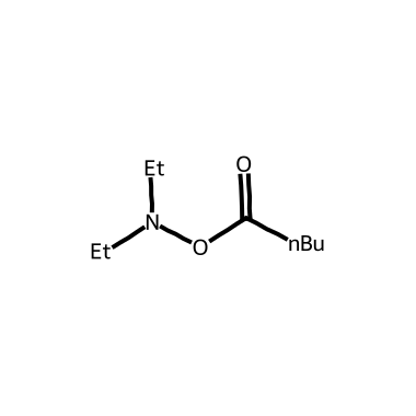 CCCCC(=O)ON(CC)CC